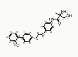 CC(N)(CO)C(=O)Nc1ccc(OCCc2ccc(-c3ccccc3Cl)cc2)cc1